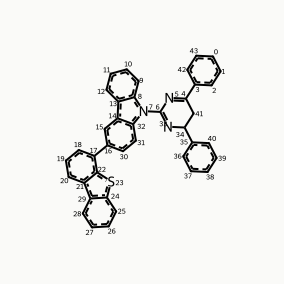 c1ccc(C2=NC(n3c4ccccc4c4cc(-c5cccc6c5sc5ccccc56)ccc43)=NC(c3ccccc3)C2)cc1